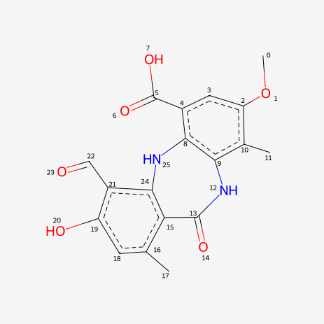 COc1cc(C(=O)O)c2c(c1C)NC(=O)c1c(C)cc(O)c(C=O)c1N2